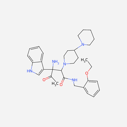 CCOc1ccccc1CNC(=O)C(N1CCC(N2CCCCC2)CC1)C(N)(C(C)=O)c1c[nH]c2ccccc12